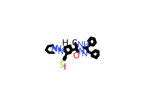 Cc1[nH]c2c(-c3ccccc3)c(-c3ccccc3)nn2c(=O)c1-c1ccc(N=NN2CCCCC2)c(C#CSI)c1